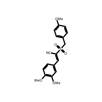 COc1ccc(CS(=O)(=O)C(C#N)=Cc2ccc(OC)c(OC)c2)cc1